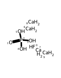 F.O=P(O)(O)O.[CaH2].[CaH2].[CaH2].[CaH2]